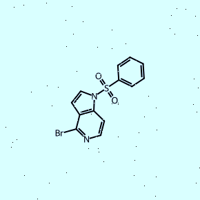 O=S(=O)(c1ccccc1)n1ccc2c(Br)nccc21